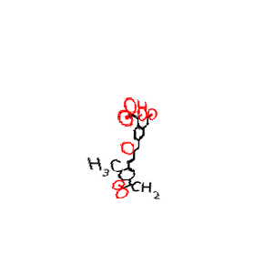 C=C1C(=O)OC2CC(C)C(/C=C/C(=O)Cc3ccc4c(c3)CC(=O)OC4C(=O)O)=CCC12